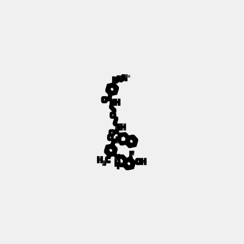 Cc1ccc(C(=O)N2Cc3ccccc3C[C@H]2C(=O)NCCOCCNC(=O)c2ccc(N=[N+]=[N-])cc2)cc1NCc1c(F)ccc(O)c1F